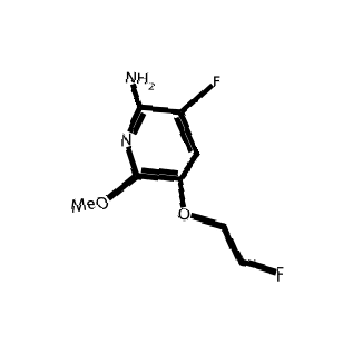 COc1nc(N)c(F)cc1OCCF